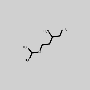 CCC(N)CCNC(C)C